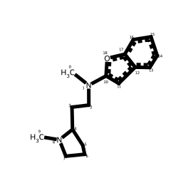 CN(CCC1CCCN1C)c1cc2ccccc2o1